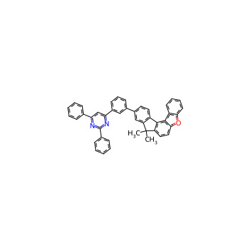 CC1(C)c2cc(-c3cccc(-c4cc(-c5ccccc5)nc(-c5ccccc5)n4)c3)ccc2-c2c1ccc1oc3ccccc3c21